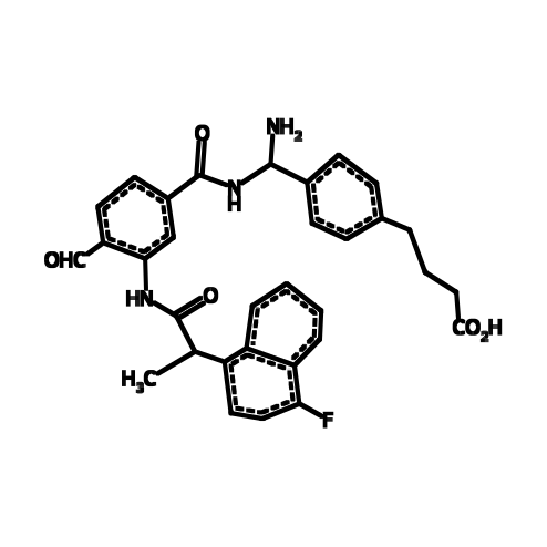 CC(C(=O)Nc1cc(C(=O)NC(N)c2ccc(CCCC(=O)O)cc2)ccc1C=O)c1ccc(F)c2ccccc12